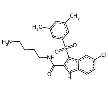 Cc1cc(C)cc(S(=O)(=O)c2c(C(=O)NCCCCN)[nH]c3ccc(Cl)cc23)c1